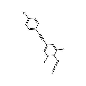 Fc1cc(C#Cc2ccc(S)cc2)cc(F)c1N=C=S